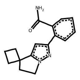 NC(=O)c1ccccc1-c1cc2n(n1)CCC21CCC1